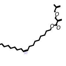 C=C(C)COCC(=C)C(=O)OCCCCCCCC/C=C\CCCCCCCC